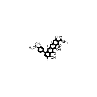 CN(C)c1ccc(-c2cc(I)c(O)c3c2C[C@H]2C[C@H]4CC(O)=C(C(N)=O)C(=O)[C@@]4(O)C(O)=C2C3=O)cc1